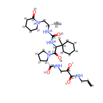 C=CCNC(=O)C(=O)CNC(=O)[C@@H]1CCCN1C(=O)[C@@H](NC(=O)N[C@H](CN1CCCCC1=O)C(C)(C)C)C1(C)CCCCC1